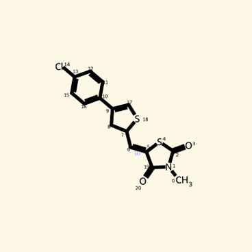 CN1C(=O)S/C(=C\C2CC(c3ccc(Cl)cc3)=CS2)C1=O